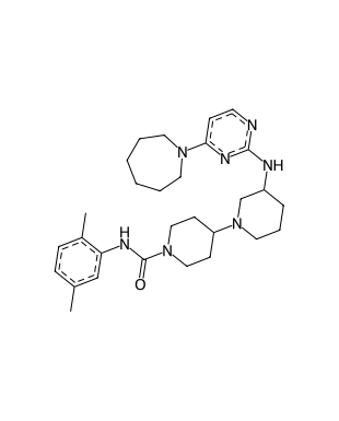 Cc1ccc(C)c(NC(=O)N2CCC(N3CCCC(Nc4nccc(N5CCCCCC5)n4)C3)CC2)c1